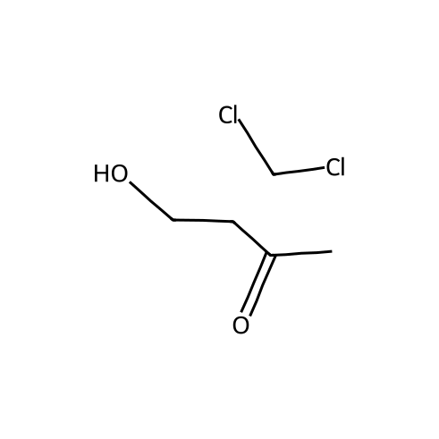 CC(=O)CCO.ClCCl